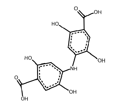 O=C(O)c1cc(O)c(Nc2cc(O)c(C(=O)O)cc2O)cc1O